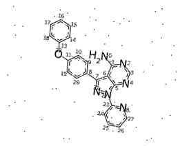 Nc1ncnc2c1c(-c1ccc(Oc3ccccc3)cc1)nn2-c1ccccn1